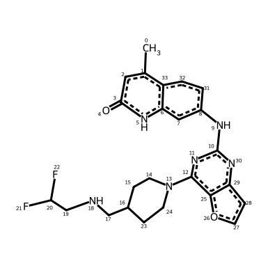 Cc1cc(=O)[nH]c2cc(Nc3nc(N4CCC(CNCC(F)F)CC4)c4occc4n3)ccc12